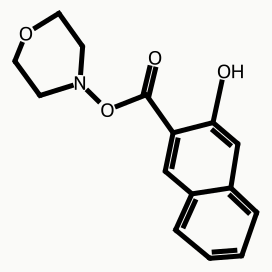 O=C(ON1CCOCC1)c1cc2ccccc2cc1O